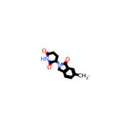 [CH2]c1ccc2c(c1)C(=O)N(C1CCC(=O)NC1=O)C2